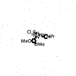 COc1cc(OC)cc(-c2nc(NCC3CCN(C(C)C)CC3)nc(C(Cl)(Cl)Cl)n2)c1